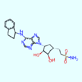 NS(=O)(=O)CC[C@H]1C[C@@H](n2cnc3c(NC4CCc5ccccc54)ncnc32)[C@H](O)[C@@H]1O